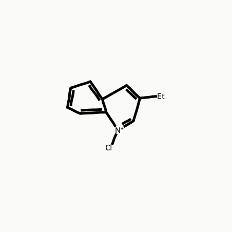 CCc1cc2ccccc2[n+](Cl)c1